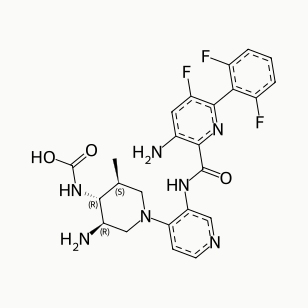 C[C@H]1CN(c2ccncc2NC(=O)c2nc(-c3c(F)cccc3F)c(F)cc2N)C[C@@H](N)[C@@H]1NC(=O)O